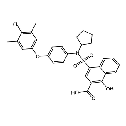 Cc1cc(Oc2ccc(N(C3CCCC3)S(=O)(=O)c3cc(C(=O)O)c(O)c4ccccc34)cc2)cc(C)c1Cl